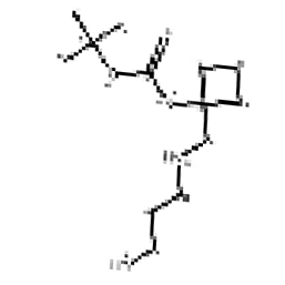 CC(C)(C)OC(=O)NC1(CNCCCO)CCC1